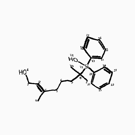 CC(=CCO)CCCC(C)(C)[Si](O)(c1ccccc1)c1ccccc1